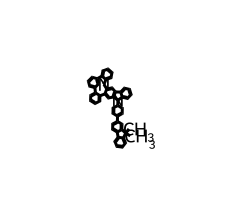 CC1(C)c2ccccc2-c2ccc(C3=CCC(n4c5ccccc5c5cc6c(cc54)-c4ccccc4-c4cccc5c7ccccc7n-6c45)C=C3)cc21